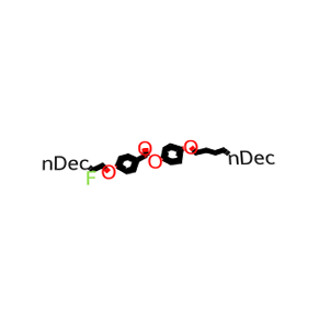 CCCCCCCCCCCCCCOc1ccc(OC(=O)c2ccc(OCC(F)CCCCCCCCCC)cc2)cc1